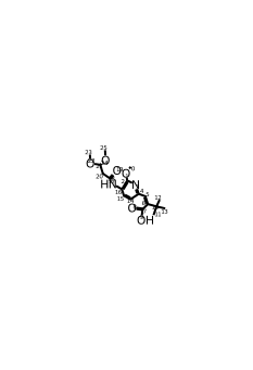 COc1nc(C=C(C(=O)O)C(C)(C)C)ccc1NC(=O)CC(OC)OC